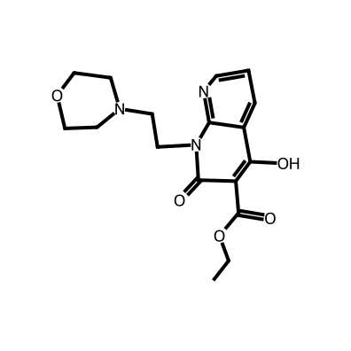 CCOC(=O)c1c(O)c2cccnc2n(CCN2CCOCC2)c1=O